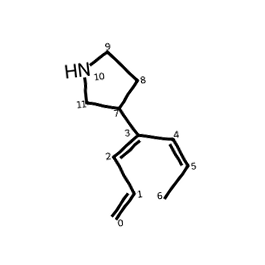 C=C/C=C(\C=C/C)C1CCNC1